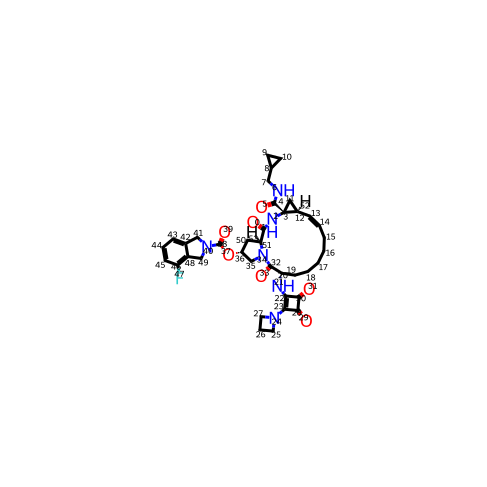 O=C1N[C@]2(C(=O)NCC3CC3)C[C@H]2/C=C\CCCCC[C@H](Nc2c(N3CCC3)c(=O)c2=O)C(=O)N2C[C@H](OC(=O)N3Cc4cccc(F)c4C3)C[C@@H]12